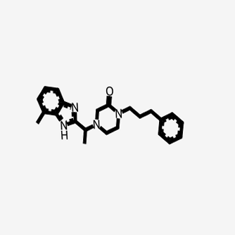 Cc1cccc2nc(C(C)N3CCN(CCCc4ccccc4)C(=O)C3)[nH]c12